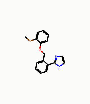 CSc1ccccc1OCc1ccccc1-c1ncc[nH]1